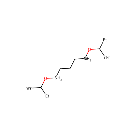 CCCC(CC)O[SiH2]CCC[SiH2]OC(CC)CCC